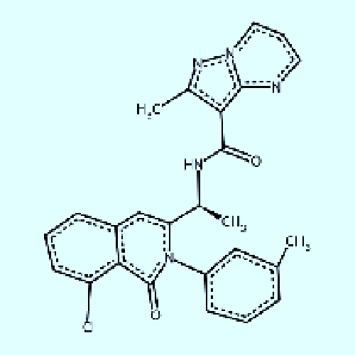 Cc1cccc(-n2c([C@H](C)NC(=O)c3c(C)nn4cccnc34)cc3cccc(Cl)c3c2=O)c1